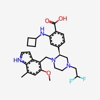 COc1cc(C)c2[nH]ccc2c1CN1CCN(CC(F)F)C[C@@H]1c1ccc(C(=O)O)c(NC2CCC2)c1